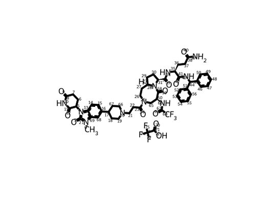 Cn1c(=O)n(C2CCC(=O)NC2=O)c2ccc(C3CCN(CCC(=O)N4CC[C@H]5CC[C@@H](C(=O)N[C@@H](CCC(N)=O)C(=O)NC(c6ccccc6)c6ccccc6)N5C(=O)[C@@H](NC(=O)C(F)(F)F)C4)CC3)cc21.O=C(O)C(F)(F)F